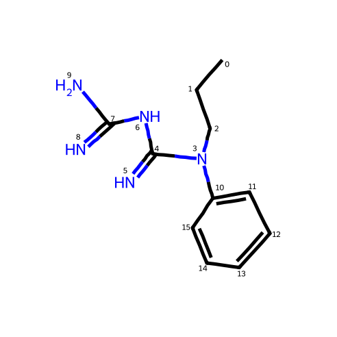 CCCN(C(=N)NC(=N)N)c1ccccc1